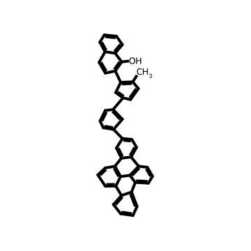 Cc1ccc(-c2cccc(-c3ccc4c(c3)c3cccc5c6ccccc6c6cccc4c6c53)c2)cc1-c1ccc2ccccc2c1O